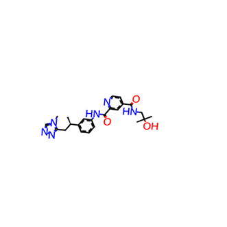 C[C@H](Cc1nncn1C)c1cccc(NC(=O)c2cc(C(=O)NCC(C)(C)O)ccn2)c1